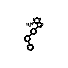 Nc1ncnc2occ(-c3ccc(-c4cccc(-c5ccccc5)c4)cc3)c12